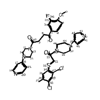 COc1ccc(C(=O)CCC(=O)N2CCN(c3ccncc3)CC2)cc1F.Cc1cc(SCC(=O)N2CCN(c3ccncc3)CC2)c(Cl)cc1Cl